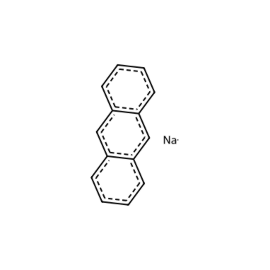 [Na].c1ccc2cc3ccccc3cc2c1